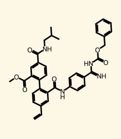 C=Cc1ccc(-c2ccc(C(=O)NCC(C)C)cc2C(=O)OC)c(C(=O)Nc2ccc(C(=N)NC(=O)OCc3ccccc3)cc2)c1